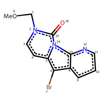 COCn1ccc2c(Br)c3cccnc3n2c1=O